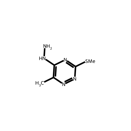 CSc1nnc(C)c(NN)n1